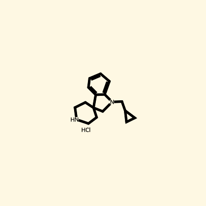 Cl.c1ccc2c(c1)N(CC1CC1)CC21CCNCC1